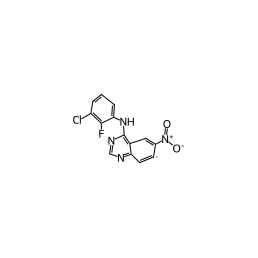 O=[N+]([O-])c1[c]cc2ncnc(Nc3cccc(Cl)c3F)c2c1